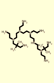 CC(C)(CN)CN(CCN)CCN(CCN)CCN(CCN)CCNCCN(CCN)C(C)(C)CN